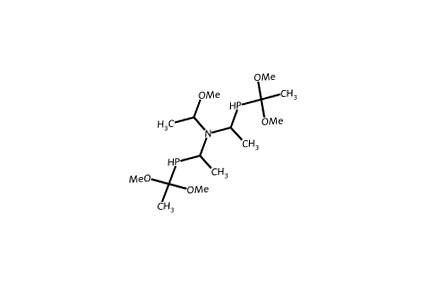 COC(C)N(C(C)PC(C)(OC)OC)C(C)PC(C)(OC)OC